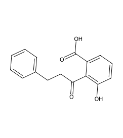 O=C(O)c1cccc(O)c1C(=O)CCc1ccccc1